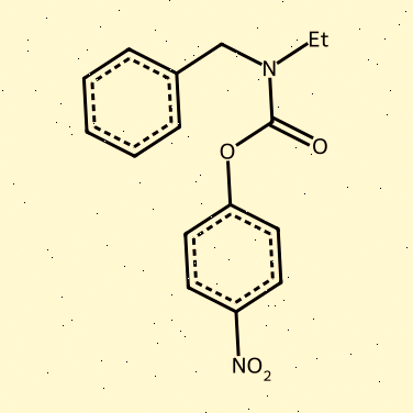 CCN(Cc1ccccc1)C(=O)Oc1ccc([N+](=O)[O-])cc1